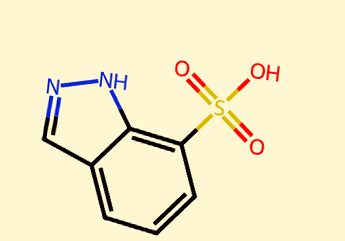 O=S(=O)(O)c1cccc2cn[nH]c12